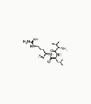 CC(C)CC(NC(=O)C(N)C(C)C)C(=O)NC(C=O)CCCNC(=N)N